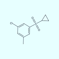 Cc1cc(Cl)cc(S(=O)(=O)C2CC2)c1